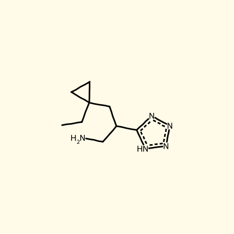 CCC1(CC(CN)c2nnn[nH]2)CC1